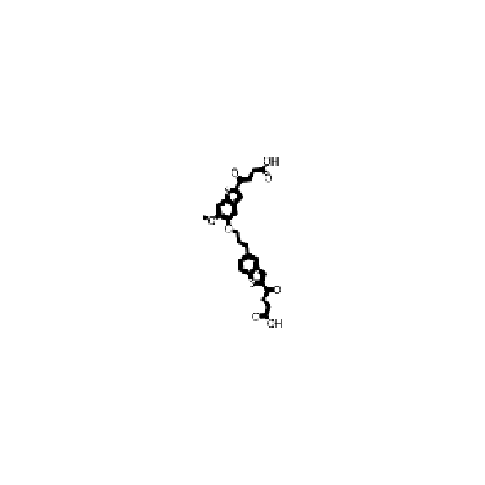 COc1cc2sc(C(=O)CCC(=O)O)cc2cc1OCCCc1ccc2sc(C(=O)CCC(=O)O)cc2c1